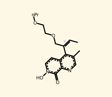 C/C=C(/COCCOCCC)c1c(C)cnc2c(=O)n(O)ccc12